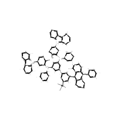 CC(C)(C)c1cc(-c2cc3c4c(c2)N(c2ccccc2)c2cc(-n5c6ccccc6c6ccccc65)ccc2B4c2ccc(-n4c5ccccc5c5ccccc54)cc2N3c2ccccc2)cc(-c2c3ccccc3c(-c3ccccc3)c3ccccc23)c1